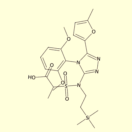 COc1cccc(OC)c1-n1c(-c2ccc(C)o2)nnc1N(CC[Si](C)(C)C)S(=O)(=O)C(C)C(=O)O